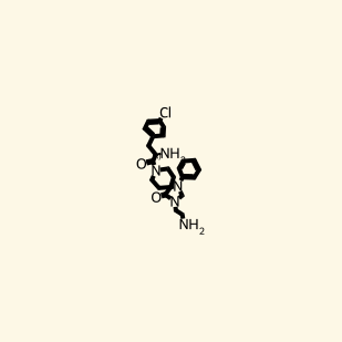 NCCN1CN(c2ccccc2)C2(CCN(C(=O)[C@H](N)Cc3ccc(Cl)cc3)CC2)C1=O